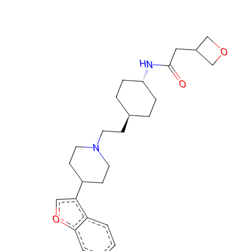 O=C(CC1COC1)N[C@H]1CC[C@H](CCN2CCC(c3coc4ccccc34)CC2)CC1